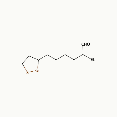 CCC(C=O)CCCCC1CCSS1